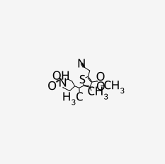 COC(=O)c1c(CC#N)sc(C(C)C2CCN(C(=O)O)CC2)c1C